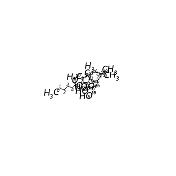 CCCCCC(=O)OC1C(C)=CC23C(=O)C(C=C(CO)C(O)C12O)C1C(CC3C)C1(C)C